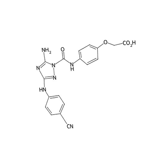 N#Cc1ccc(Nc2nc(N)n(C(=O)Nc3ccc(OCC(=O)O)cc3)n2)cc1